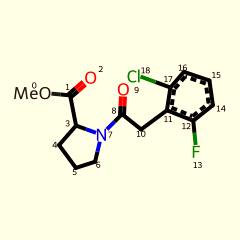 COC(=O)C1CCCN1C(=O)Cc1c(F)cccc1Cl